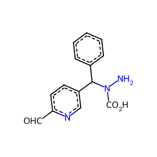 NN([C](c1ccccc1)c1ccc(C=O)nc1)C(=O)O